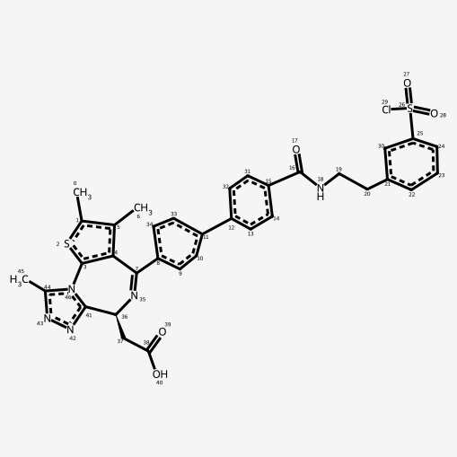 Cc1sc2c(c1C)C(c1ccc(-c3ccc(C(=O)NCCc4cccc(S(=O)(=O)Cl)c4)cc3)cc1)=N[C@@H](CC(=O)O)c1nnc(C)n1-2